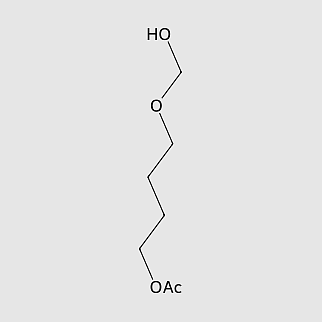 CC(=O)OCCCCOCO